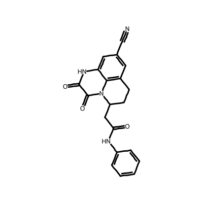 N#Cc1cc2c3c(c1)[nH]c(=O)c(=O)n3C(CC(=O)Nc1ccccc1)CC2